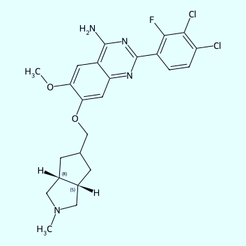 COc1cc2c(N)nc(-c3ccc(Cl)c(Cl)c3F)nc2cc1OCC1C[C@@H]2CN(C)C[C@@H]2C1